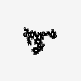 C=CC(=O)N1CCN(c2nc(OCCN3CCOCC3)nc3c2CCC(N2c4ccccc4CC2C)C3)CC1CC#N